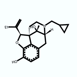 C=C(CC)[C@@H]1Oc2c(O)ccc3c2[C@@]12CCN(CC1CC1)[C@H](C3)[C@@]2(C)O